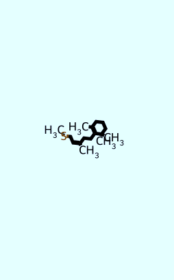 CSC/C=C(/C)CCC1=C(C)CCCC1(C)C